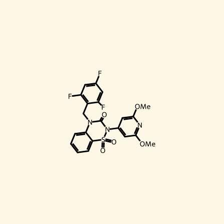 COc1cc(N2C(=O)N(Cc3c(F)cc(F)cc3F)c3ccccc3S2(=O)=O)cc(OC)n1